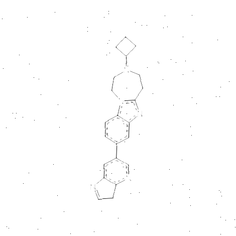 C1=Nc2cc(-c3ccc4c(c3)nc3n4CCN(C4CCC4)CC3)cnc2C1